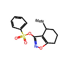 CNC1CCCc2onc(OS(=O)(=O)c3ccccc3)c21